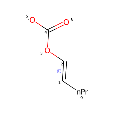 CCC/C=C/OC([O])=O